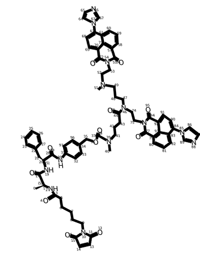 C[C@H](NC(=O)CCCCCN1C(=O)C=CC1=O)C(=O)N[C@@H](Cc1ccccc1)C(=O)Nc1ccc(COC(=O)N(C)CCCC(=O)N(CCCN(C)CCN2C(=O)c3cccc4c(-n5ccnc5)ccc(c34)C2=O)CCN2C(=O)c3cccc4c(-n5ccnc5)ccc(c34)C2=O)cc1